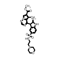 COC(=O)c1cn2ncnc(C3C(=O)Nc4ccc(S(=O)(=O)NCCN5CCOCC5)cc43)c2c1C